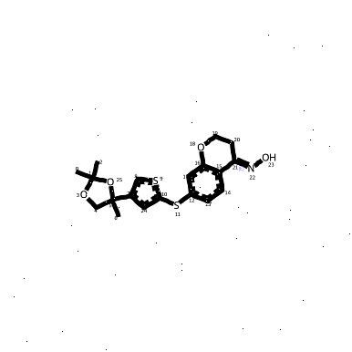 CC1(C)OCC(C)(c2csc(Sc3ccc4c(c3)OCC/C4=N\O)c2)O1